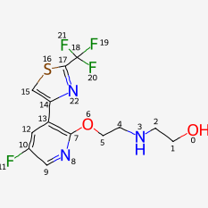 OCCNCCOc1ncc(F)cc1-c1csc(C(F)(F)F)n1